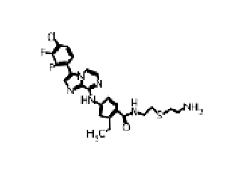 CCc1cc(Nc2nccn3c(-c4ccc(Cl)c(F)c4F)cnc23)ccc1C(=O)NCCSCCN